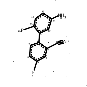 N#Cc1cc(F)ccc1-c1cc(N)ccc1F